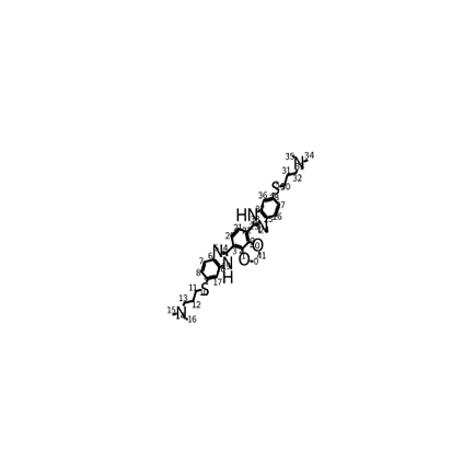 COc1c(-c2nc3ccc(SCCCN(C)C)cc3[nH]2)ccc(-c2nc3ccc(SCCCN(C)C)cc3[nH]2)c1OC